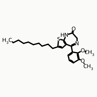 CCCCCCCCCCc1cc2c(s1)NC(=O)CN=C2c1cccc(OC)c1OC